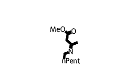 CCCCCCN=C(C)CC(=O)OC